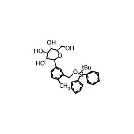 Cc1ccc([C@@H]2O[C@H](CO)[C@@H](O)[C@H](O)[C@H]2O)cc1CO[Si](c1ccccc1)(c1ccccc1)C(C)(C)C